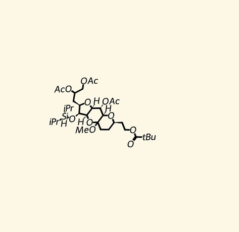 COC12CC[C@H](CCOC(=O)C(C)(C)C)O[C@@H]1[C@@H](OC(C)=O)[C@@H]1O[C@H](CC(COC(C)=O)OC(C)=O)[C@H](O[SiH](C(C)C)C(C)C)[C@@H]1O2